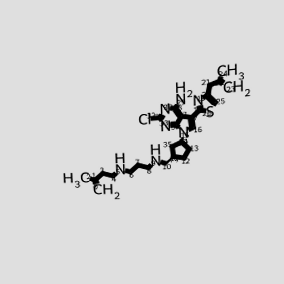 C=C(C)CCNCCCNC[C@@H]1CC[C@H](n2cc(-c3nc(CC(=C)C)cs3)c3c(N)nc(Cl)nc32)C1